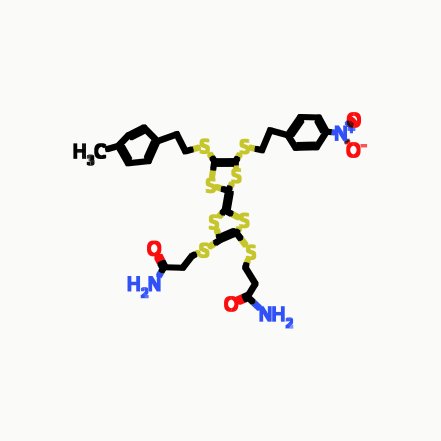 Cc1ccc(CCSC2=C(SCCc3ccc([N+](=O)[O-])cc3)SC(=C3SC(SCCC(N)=O)=C(SCCC(N)=O)S3)S2)cc1